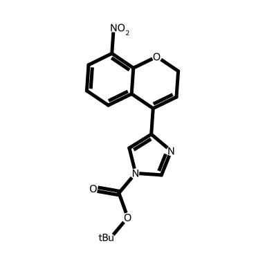 CC(C)(C)OC(=O)n1cnc(C2=CCOc3c2cccc3[N+](=O)[O-])c1